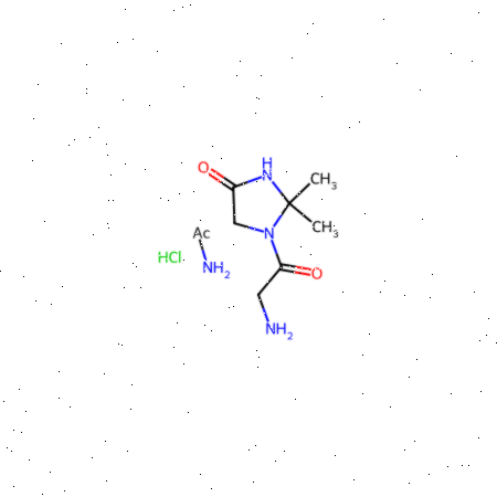 CC(N)=O.CC1(C)NC(=O)CN1C(=O)CN.Cl